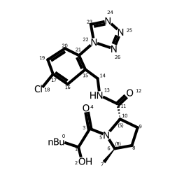 CCCCC(O)C(=O)N1[C@H](C)CC[C@H]1C(=O)NCc1cc(Cl)ccc1-n1cnnn1